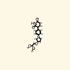 COC(CO[C@@H]1CCN(c2ccc(C3CCC(=O)NC3=O)cc2)C1)OC